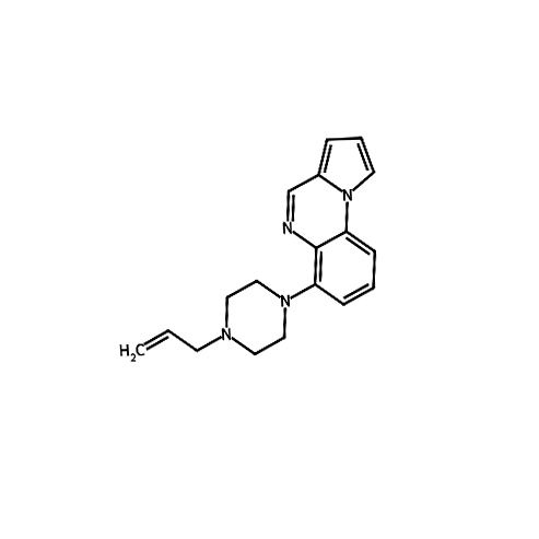 C=CCN1CCN(c2cccc3c2ncc2cccn23)CC1